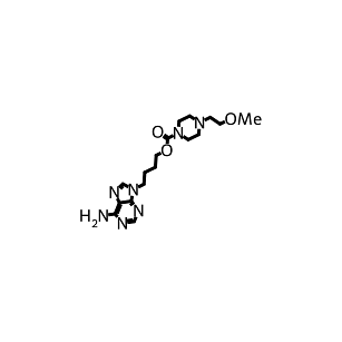 COCCN1CCN(C(=O)OCCCCn2cnc3c(N)ncnc32)CC1